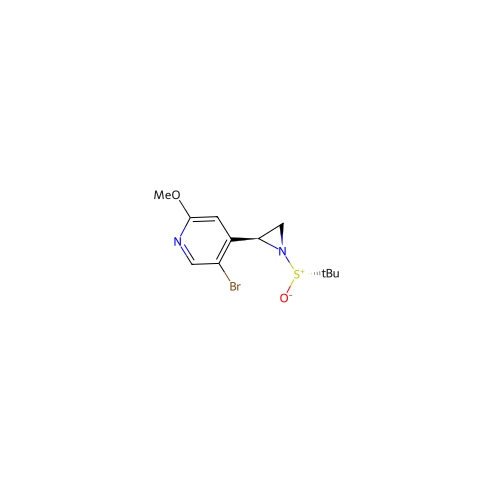 COc1cc([C@H]2C[N@@]2[S@@+]([O-])C(C)(C)C)c(Br)cn1